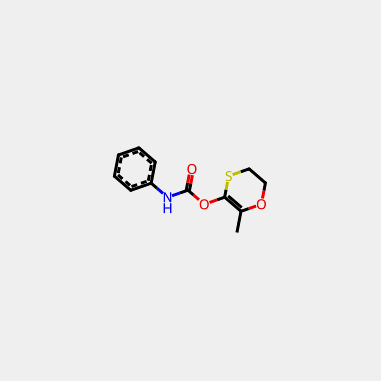 CC1=C(OC(=O)Nc2ccccc2)SCCO1